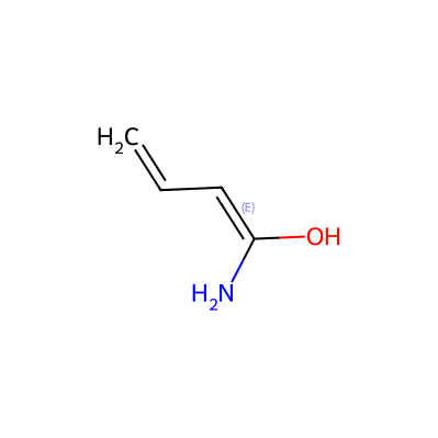 C=C/C=C(\N)O